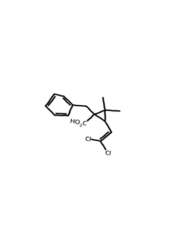 CC1(C)C(C=C(Cl)Cl)C1(Cc1ccccc1)C(=O)O